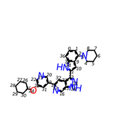 c1cc(N2CCCCC2)c2cc(-c3n[nH]c4cnc(-c5cncc(OC6CCCCC6)c5)cc34)[nH]c2c1